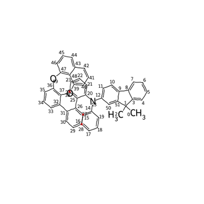 CC1(C)c2ccccc2-c2ccc(N(c3ccccc3)c3ccccc3-c3ccccc3-c3cccc4c3Oc3cccc5cccc(c35)O4)cc21